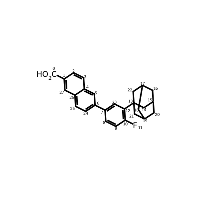 O=C(O)c1ccc2cc(-c3ccc(F)c(C45CC6CC(CC(C6)C4)C5)c3)ccc2c1